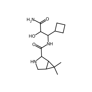 CC1(C)C2CNC(C(=O)NC(C3CCC3)C(O)C(N)=O)C21